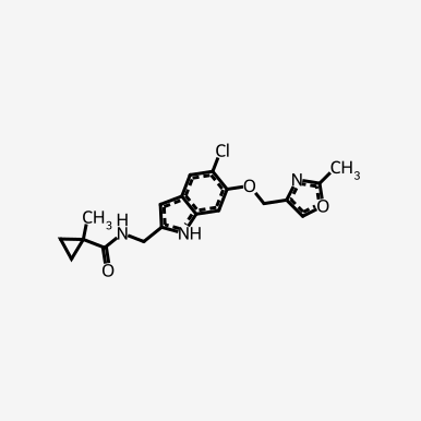 Cc1nc(COc2cc3[nH]c(CNC(=O)C4(C)CC4)cc3cc2Cl)co1